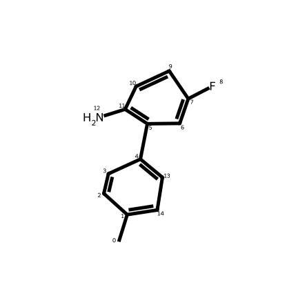 Cc1ccc(-c2cc(F)ccc2N)cc1